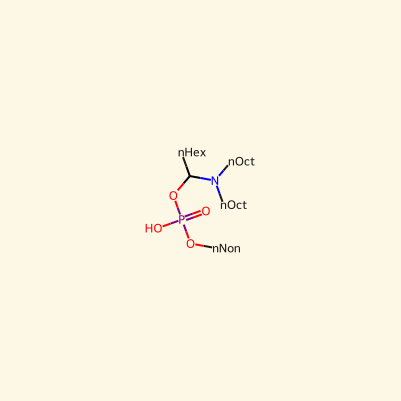 CCCCCCCCCOP(=O)(O)OC(CCCCCC)N(CCCCCCCC)CCCCCCCC